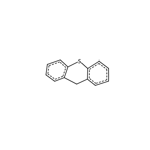 [c]1cccc2c1Sc1ccccc1C2